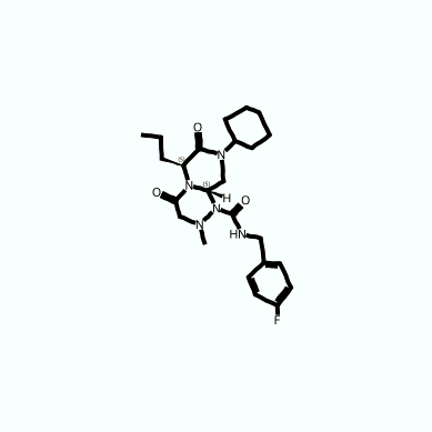 CCC[C@H]1C(=O)N(C2CCCCC2)C[C@H]2N1C(=O)CN(C)N2C(=O)NCc1ccc(F)cc1